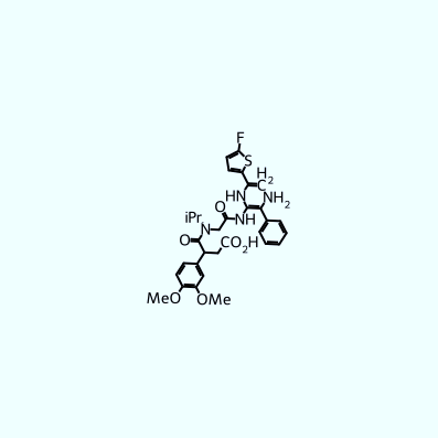 C=C(N/C(NC(=O)CN(C(=O)C(CC(=O)O)c1ccc(OC)c(OC)c1)C(C)C)=C(\N)c1ccccc1)c1ccc(F)s1